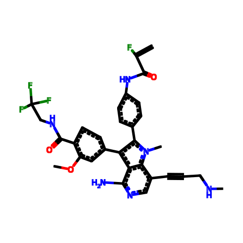 C=C(F)C(=O)Nc1ccc(-c2c(-c3ccc(C(=O)NCC(F)(F)F)c(OC)c3)c3c(N)ncc(C#CCNC)c3n2C)cc1